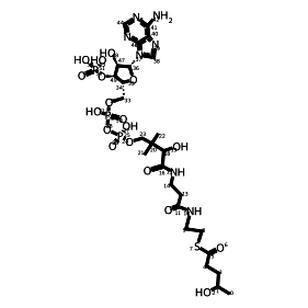 CC(O)CCC(=O)SCCNC(=O)CCNC(=O)C(O)C(C)(C)COP(=O)(O)OP(=O)(O)OC[C@H]1O[C@@H](n2cnc3c(N)ncnc32)[C@H](O)[C@@H]1OP(=O)(O)O